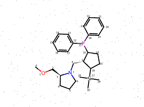 COC[C@@H]1CCCN1C[C@@H]1C(P(c2ccccc2)c2ccccc2)CCC1[Si](C)(C)C